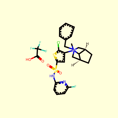 CN(c1cc(S(=O)(=O)Nc2cccc(F)n2)sc1Cl)C1[C@@H]2CC[C@H]1CN(Cc1ccccc1)C2.O=C(O)C(F)(F)F